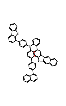 c1ccc(N(c2ccc(-c3ccc(-c4cccc5ccccc45)cc3)cc2)c2ccc(-c3cccc4c3sc3ccccc34)cc2)c(-c2ccc3oc4cc5ccccc5cc4c3c2)c1